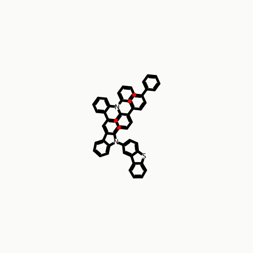 c1ccc(-c2ccc(-c3ccccc3N(c3ccccc3)c3ccccc3-c3ccc4c(c3)c3ccccc3n4-c3ccc4sc5ccccc5c4c3)cc2)cc1